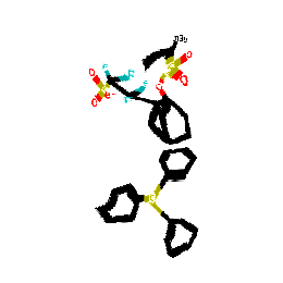 CCCCC(C)S(=O)(=O)OC12CCC(CC1C(F)(F)C(F)(F)S(=O)(=O)[O-])C2.c1ccc([S+](c2ccccc2)c2ccccc2)cc1